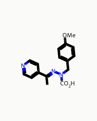 COc1ccc(CN(/N=C(\C)c2ccncc2)C(=O)O)cc1